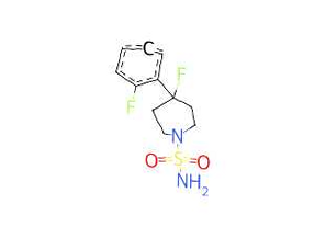 NS(=O)(=O)N1CCC(F)(c2ccccc2F)CC1